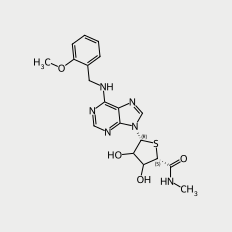 CNC(=O)[C@H]1S[C@@H](n2cnc3c(NCc4ccccc4OC)ncnc32)C(O)C1O